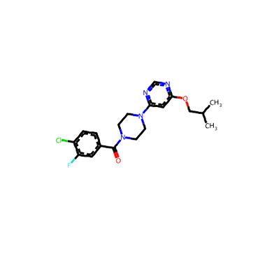 CC(C)COc1cc(N2CCN(C(=O)c3ccc(Cl)c(F)c3)CC2)ncn1